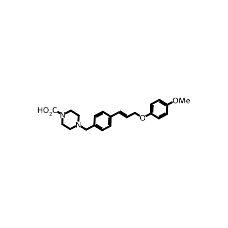 COc1ccc(OC/C=C/c2ccc(CN3CCN(C(=O)O)CC3)cc2)cc1